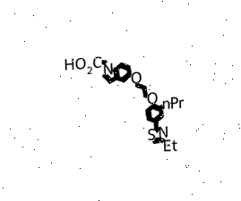 CCCc1cc(-c2nc(CC)cs2)ccc1OCCCOc1ccc2c(ccn2CC(=O)O)c1